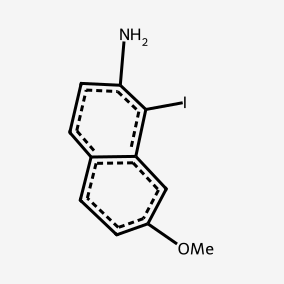 COc1ccc2ccc(N)c(I)c2c1